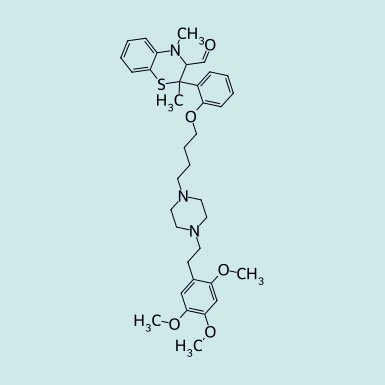 COc1cc(OC)c(OC)cc1CCN1CCN(CCCCOc2ccccc2C2(C)Sc3ccccc3N(C)C2C=O)CC1